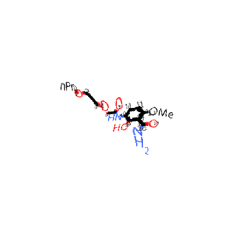 CCCOCCOCC(=O)Nc1ccc(OC)c(C(N)=O)c1O